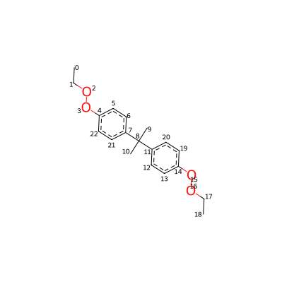 CCOOc1ccc(C(C)(C)c2ccc(OOCC)cc2)cc1